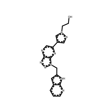 OCCn1cc(-c2cnc3nnn(Cc4cc5cccnc5[nH]4)c3n2)cn1